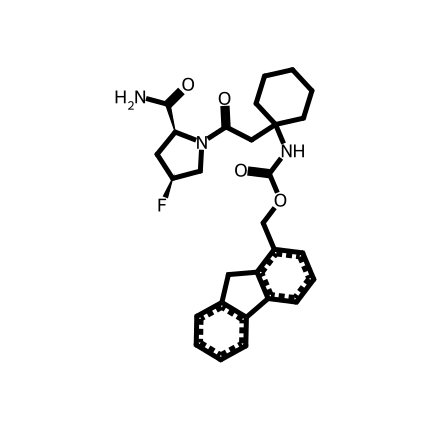 NC(=O)[C@@H]1C[C@H](F)CN1C(=O)CC1(NC(=O)OCc2cccc3c2Cc2ccccc2-3)CCCCC1